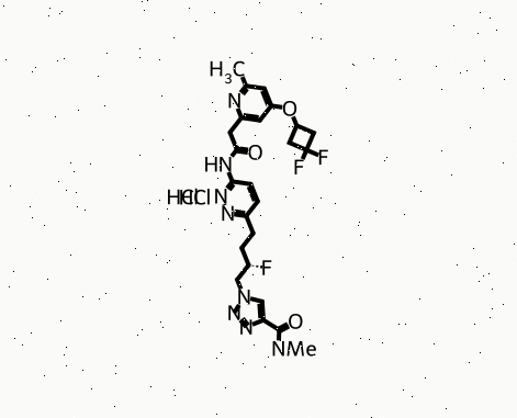 CNC(=O)c1cn(C[C@@H](F)CCc2ccc(NC(=O)Cc3cc(OC4CC(F)(F)C4)cc(C)n3)nn2)nn1.Cl.Cl